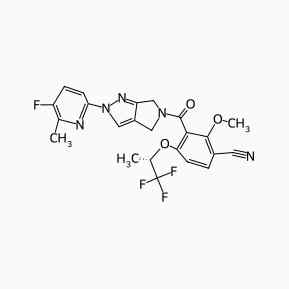 COc1c(C#N)ccc(O[C@@H](C)C(F)(F)F)c1C(=O)N1Cc2cn(-c3ccc(F)c(C)n3)nc2C1